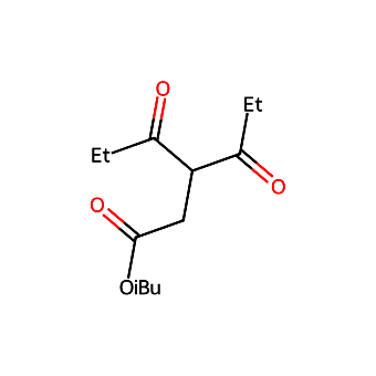 CCC(=O)C(CC(=O)OCC(C)C)C(=O)CC